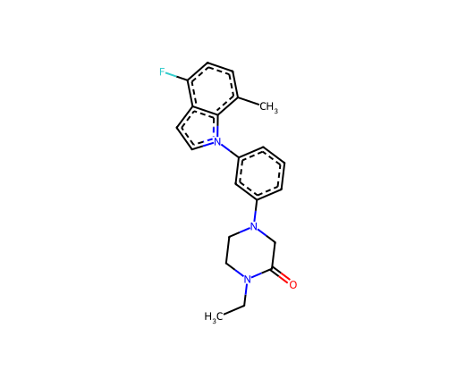 CCN1CCN(c2cccc(-n3ccc4c(F)ccc(C)c43)c2)CC1=O